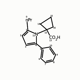 CCCc1ccc(-c2ccccc2)n1C1(C(=O)O)CCC1